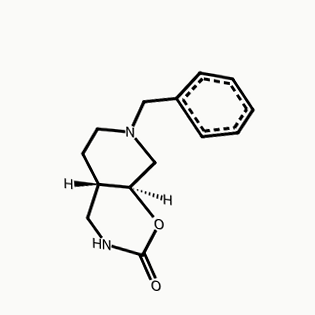 O=C1NC[C@@H]2CCN(Cc3ccccc3)C[C@H]2O1